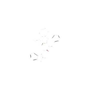 O=C(NC1c2ccccc2CC1O)C(Cc1cccc(O)c1)C(NC1CCCCC1)C(=O)NO